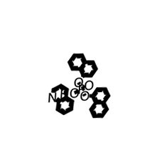 O=P(O)(Oc1cccc2ccccc12)Oc1cccc2ccccc12.c1ccc2ncccc2c1